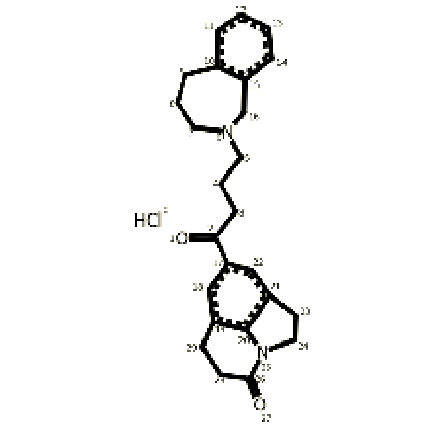 Cl.O=C(CCCN1CCCc2ccccc2C1)c1cc2c3c(c1)CCN3C(=O)CC2